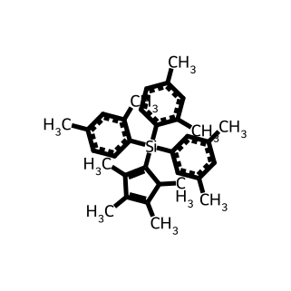 CC1=C(C)C(C)C([Si](c2cc(C)cc(C)c2)(c2ccc(C)cc2C)c2ccc(C)cc2C)=C1C